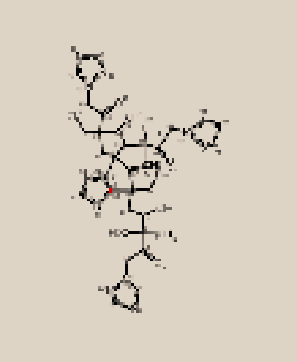 CC(C)(C(=O)Cn1cncn1)C(Cl)CC(CF)(CF)C(=O)C(CC(CCl)(CCl)C(=O)Cn1cncn1)(C(F)C(C)(C)C(=O)Cn1cncn1)n1cncn1